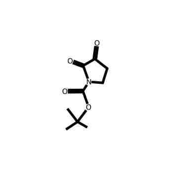 CC(C)(C)OC(=O)N1CCC(=O)C1=O